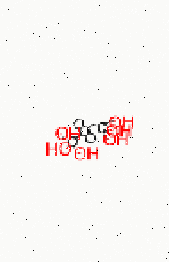 OCc1cc(Cc2c3ccccc3c(-c3cc(CO)c(O)c(CO)c3)c3ccccc23)cc(CO)c1O